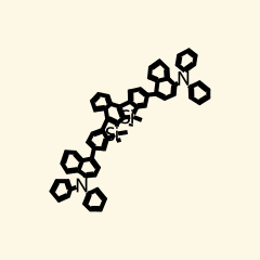 C[Si]1(C)c2cc(-c3ccc(N(c4ccccc4)c4ccccc4)c4ccccc34)ccc2-c2c1c1c(c3ccccc23)-c2ccc(-c3ccc(N(c4ccccc4)c4ccccc4)c4ccccc34)cc2[Si]1(C)C